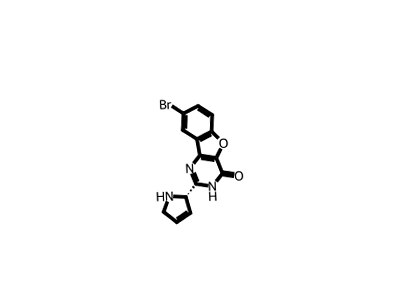 O=c1[nH]c([C@@H]2C=CCN2)nc2c1oc1ccc(Br)cc12